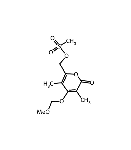 COCOc1c(C)c(COS(C)(=O)=O)oc(=O)c1C